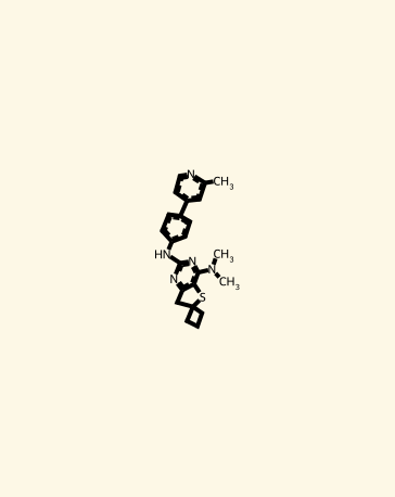 Cc1cc(-c2ccc(Nc3nc4c(c(N(C)C)n3)SC3(CCC3)C4)cc2)ccn1